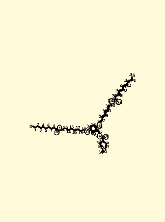 CCCCCCCCCC(=O)OCCCCCCCCOc1ccc(OCCCCCCCCOC(=O)CCCCCCCCC)c(COC(=O)C2CCN(CC)CC2)c1